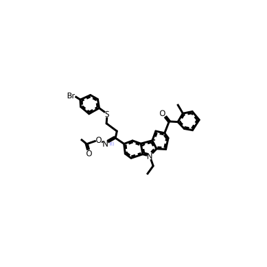 CCn1c2ccc(C(=O)c3ccccc3C)cc2c2cc(/C(CCSc3ccc(Br)cc3)=N/OC(C)=O)ccc21